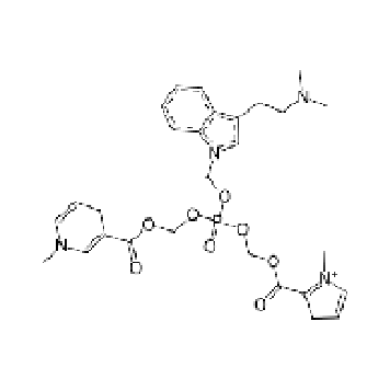 CN1C=CCC(C(=O)OCOP(=O)(OCOC(=O)C2=[N+](C)C=CC2)OCn2cc(CCN(C)C)c3ccccc32)=C1